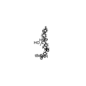 CC(C)(C)OC(=O)Nc1ccc(-c2nc(-c3ccc(CC(NC(=O)N4CCCN(c5ccc(F)cn5)CC4)C(=O)O)cc3F)no2)cc1